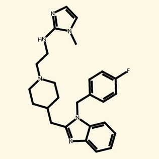 Cn1ccnc1NCCN1CCC(Cc2nc3ccccc3n2Cc2ccc(F)cc2)CC1